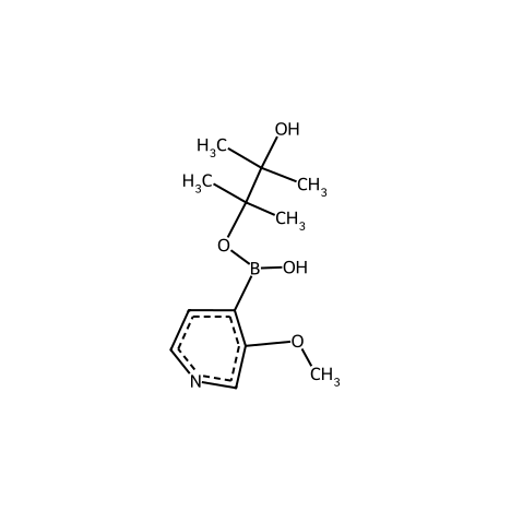 COc1cnccc1B(O)OC(C)(C)C(C)(C)O